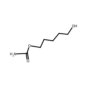 NC(=O)OCCCCCO